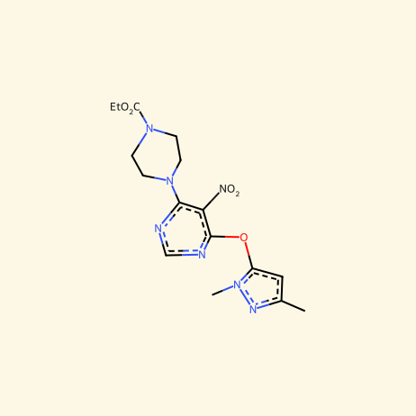 CCOC(=O)N1CCN(c2ncnc(Oc3cc(C)nn3C)c2[N+](=O)[O-])CC1